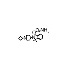 CC1(C)c2cccc(C(N)=O)c2C(=O)N1C1CCN(C2CCC2)CC1